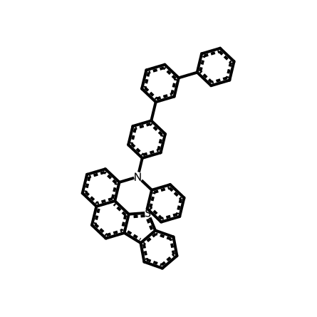 c1ccc(-c2cccc(-c3ccc(N(c4ccccc4)c4cccc5ccc6c7ccccc7sc6c45)cc3)c2)cc1